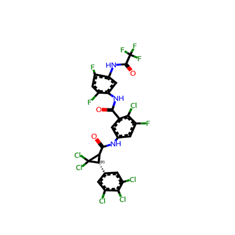 O=C(Nc1cc(NC(=O)C(F)(F)F)c(F)cc1F)c1cc(NC(=O)C2[C@H](c3cc(Cl)c(Cl)c(Cl)c3)C2(Cl)Cl)cc(F)c1Cl